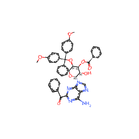 COc1ccc(C(O[C@@H]2CO[C@@H](n3cnc4c(N)nc(C(=O)c5ccccc5)nc43)[C@H](O)[C@@H]2OC(=O)c2ccccc2)(c2ccccc2)c2ccc(OC)cc2)cc1